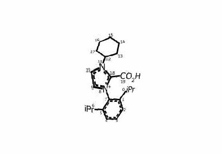 CC(C)c1cccc(C(C)C)c1-[n+]1ccn(C2CCCCC2)c1C(=O)O